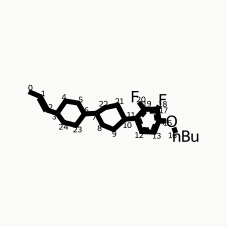 CC=CC1CCC(C2CCC(c3ccc(OCCCC)c(F)c3F)CC2)CC1